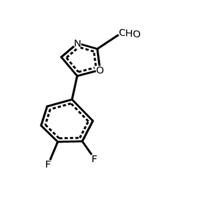 O=Cc1ncc(-c2ccc(F)c(F)c2)o1